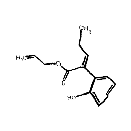 C=CCOC(=O)C(=CCC)c1ccccc1O